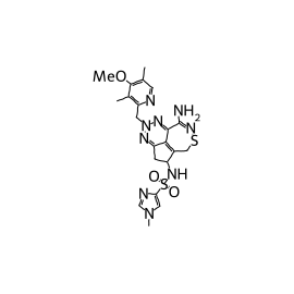 COc1c(C)cnc(CN2N=C3CC(NS(=O)(=O)c4cn(C)cn4)C4=C3C(=N2)C(N)=NSC4)c1C